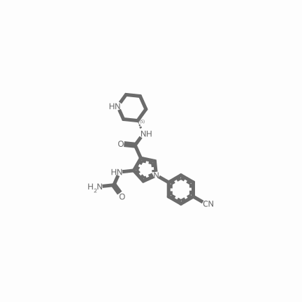 N#Cc1ccc(-n2cc(NC(N)=O)c(C(=O)N[C@H]3CCCNC3)c2)cc1